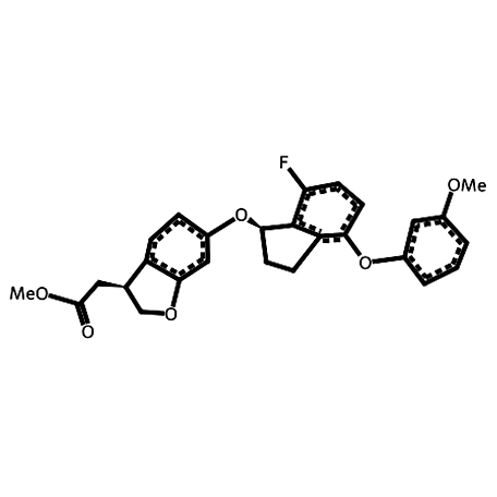 COC(=O)C[C@@H]1COc2cc(O[C@@H]3CCc4c(Oc5cccc(OC)c5)ccc(F)c43)ccc21